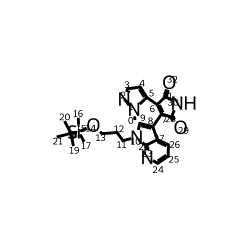 Cn1nccc1C1=C(c2cn(CCCO[Si](C)(C)C(C)(C)C)c3ncccc23)C(=O)NC1=O